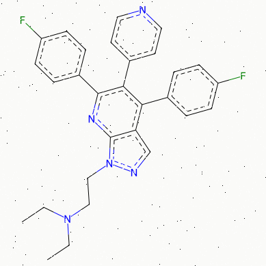 CCN(CC)CCn1ncc2c(-c3ccc(F)cc3)c(-c3ccncc3)c(-c3ccc(F)cc3)nc21